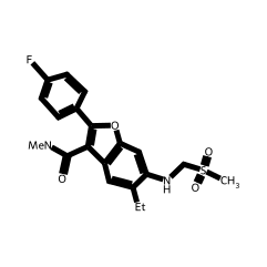 CCc1cc2c(C(=O)NC)c(-c3ccc(F)cc3)oc2cc1NCS(C)(=O)=O